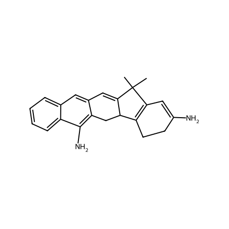 CC1(C)C2=Cc3cc4ccccc4c(N)c3CC2C2=C1C=C(N)CC2